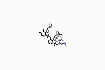 C=C/C=C\C(=C(/C=C)OCC1CO1)C(C)(C)Cc1cccc(C(C)(C)CC(=C/C=C\C)/C(=C\C)OCC2CO2)c1OCC1CO1